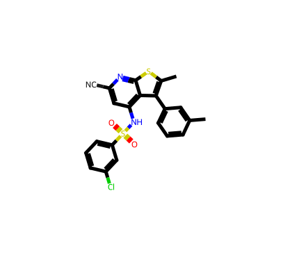 Cc1cccc(-c2c(C)sc3nc(C#N)cc(NS(=O)(=O)c4cccc(Cl)c4)c23)c1